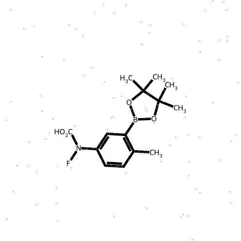 Cc1ccc(N(F)C(=O)O)cc1B1OC(C)(C)C(C)(C)O1